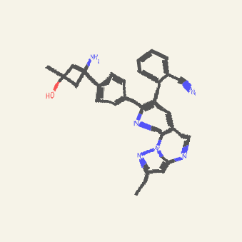 Cc1cc2ncc3cc(-c4ccccc4C#N)c(-c4ccc(C5(N)CC(C)(O)C5)cc4)nc3n2n1